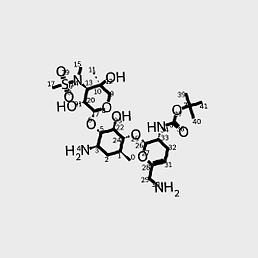 C[C@H]1C[C@@H](N)[C@H](O[C@H]2OC[C@](C)(O)[C@H](N(C)S(C)(=O)=O)[C@H]2O)[C@@H](O)[C@@H]1O[C@H]1OC(CN)=CC[C@H]1NC(=O)OC(C)(C)C